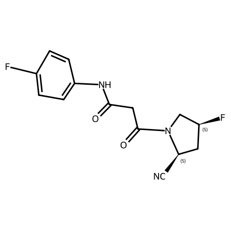 N#C[C@@H]1C[C@H](F)CN1C(=O)CC(=O)Nc1ccc(F)cc1